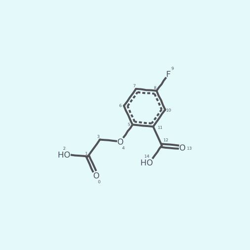 O=C(O)COc1ccc(F)cc1C(=O)O